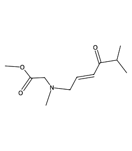 COC(=O)CN(C)C/C=C/C(=O)C(C)C